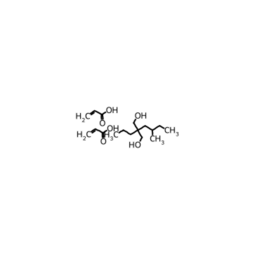 C=CC(=O)O.C=CC(=O)O.CCCC(CO)(CO)CC(C)CC